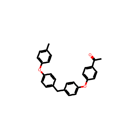 CC(=O)c1ccc(Oc2ccc(Cc3ccc(Oc4ccc(C)cc4)cc3)cc2)cc1